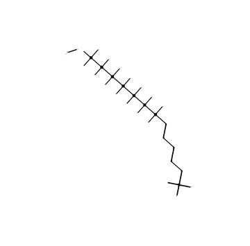 FC(F)(F)CCCCCC(F)(F)C(F)(F)C(F)(F)C(F)(F)C(F)(F)C(F)(F)C(F)(F)O[SiH3]